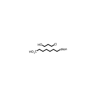 CCCCCCCCCCCCCCCC(=O)O.OCCCCl